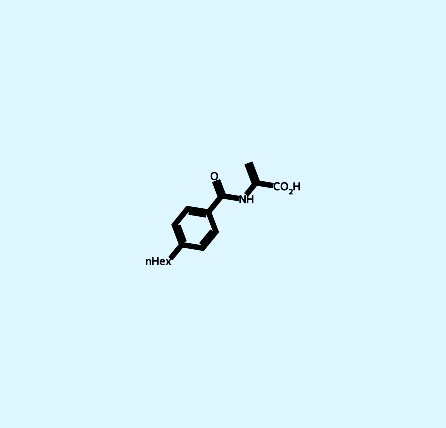 C=C(NC(=O)c1ccc(CCCCCC)cc1)C(=O)O